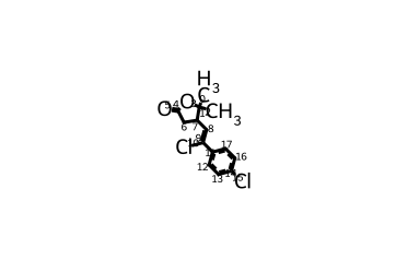 CC1(C)OC(=O)CC1C=C(Cl)c1ccc(Cl)cc1